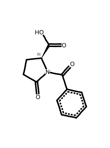 O=C(O)[C@@H]1CCC(=O)N1C(=O)c1ccccc1